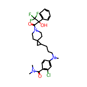 CN(C)C(=O)c1ccc(N(C)CCCC2CC23CCN(C(=O)C(O)(c2ccccc2)C(F)(F)F)CC3)cc1Cl